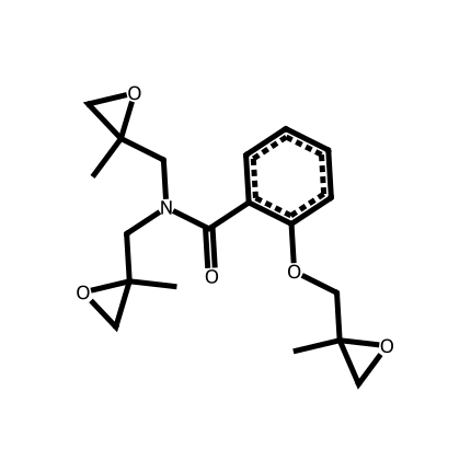 CC1(COc2ccccc2C(=O)N(CC2(C)CO2)CC2(C)CO2)CO1